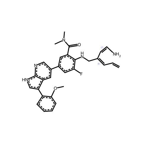 C=C/C=C(\C=C/N)CNc1c(F)cc(-c2cnc3[nH]cc(-c4ccccc4OC)c3c2)cc1C(=O)N(C)C